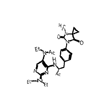 CCN(CC)c1ncc(N(CC)C(C)=O)c(N[C@@H](Cc2ccc(N3C(=O)N(C)C4(CC4)C3=O)cc2)C(C)=O)n1